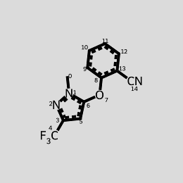 Cn1nc(C(F)(F)F)cc1Oc1ccccc1C#N